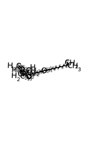 C=C(C)CCCCCCCCCCCOCCCCCNc1cccc2c(=C)n(C3CCC(=C)NC3=O)c(=C)c12